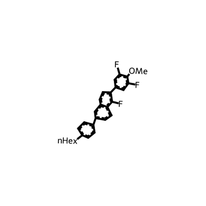 CCCCCCc1ccc(-c2ccc3c(F)c(-c4cc(F)c(OC)c(F)c4)ccc3c2)cc1